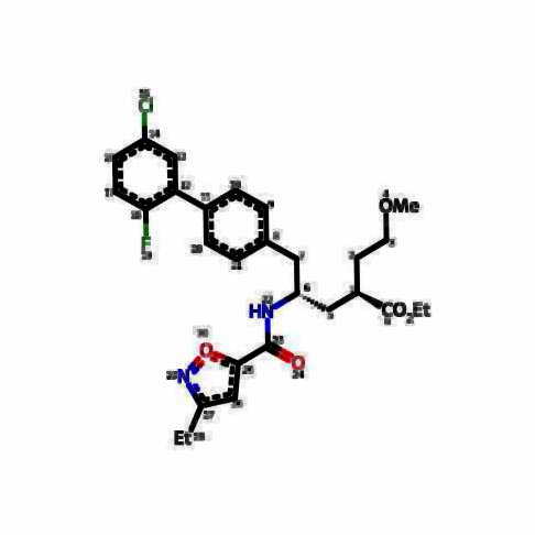 CCOC(=O)[C@H](CCOC)C[C@@H](Cc1ccc(-c2cc(Cl)ccc2F)cc1)NC(=O)c1cc(CC)no1